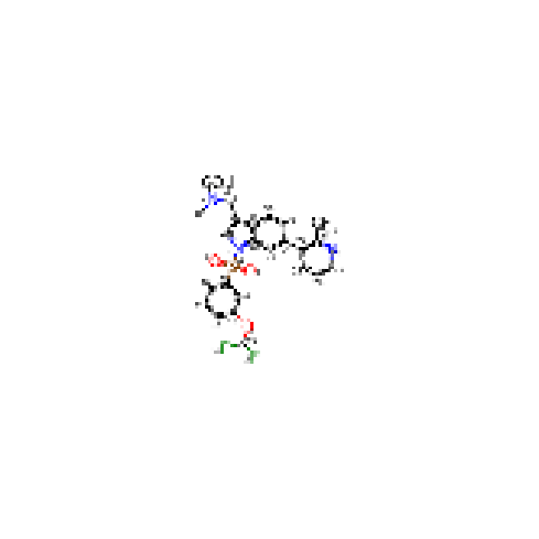 CN(Cc1cn(S(=O)(=O)c2cccc(OC(F)F)c2)c2cc(-c3cccnc3C(F)(F)F)ccc12)C(=O)O